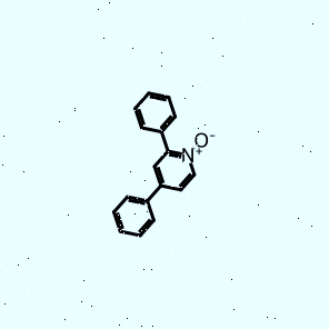 [O-][n+]1ccc(-c2ccccc2)cc1-c1ccccc1